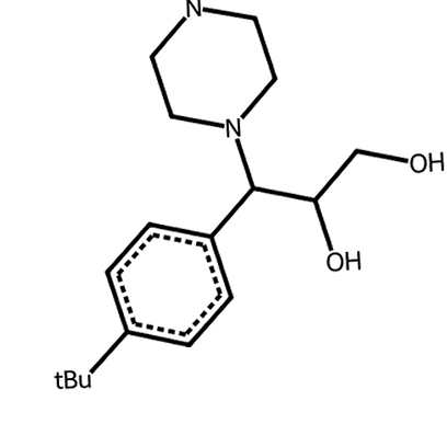 CC(C)(C)c1ccc(C(C(O)CO)N2CCNCC2)cc1